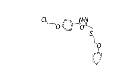 ClCCOc1ccc(-c2nnc(CSCCOc3ccccc3)o2)cc1